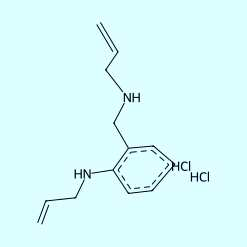 C=CCNCc1ccccc1NCC=C.Cl.Cl